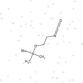 CC(C)(C)[Si](C)(C)OCCN=C=O